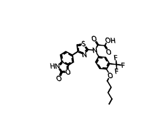 CCCCCOc1ccc(N(C(=O)C(=O)O)c2nc(-c3ccc4[nH]c(=O)oc4c3)cs2)cc1C(F)(F)F